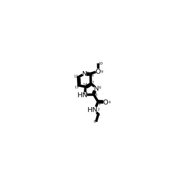 CCNC(=O)c1nc2c(OC)nccc2[nH]1